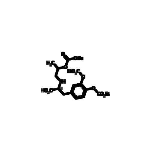 CCOC(=O)Oc1ccc(C[C@H](NCC(C)OC(=O)OCC(C)C)C(=O)O)cc1OC(=O)OCC